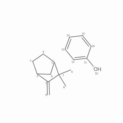 C=C1C2CCC(C2)C1(C)C.Oc1ccccc1